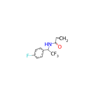 C=CC(=O)NC(c1ccc(F)cc1)C(F)(F)F